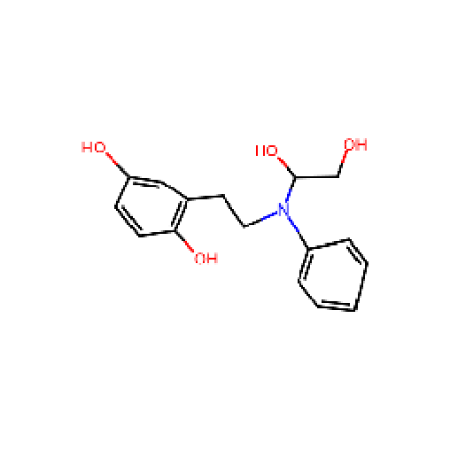 OCC(O)N(CCc1cc(O)ccc1O)c1ccccc1